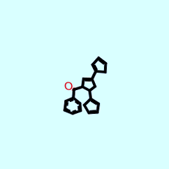 O=C(c1ccccc1)C1C=C(C2=CC=CC2)CC1C1=CC=CC1